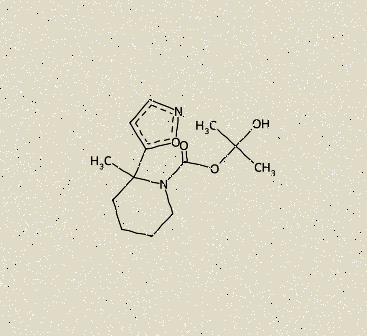 CC(C)(O)OC(=O)N1CCCCC1(C)c1ccno1